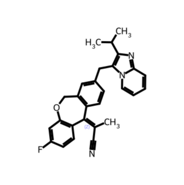 C/C(C#N)=C1\c2ccc(Cc3c(C(C)C)nc4ccccn34)cc2COc2cc(F)ccc21